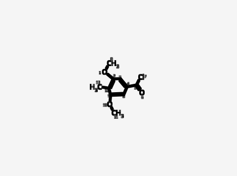 COc1cc(C(=O)Cl)cc(OC)c1C